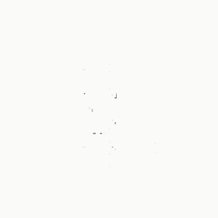 Cc1[nH]c(=O)ccc1Nc1ncc(N(C)C)c(N(C=O)C2CCOCC2)n1